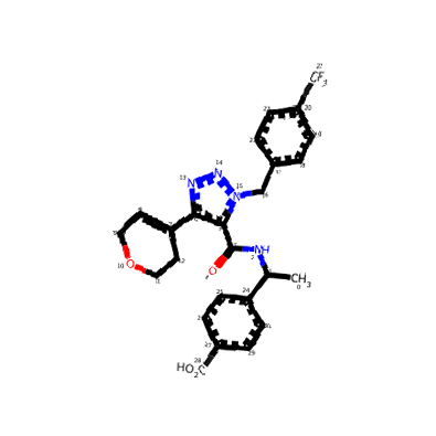 CC(NC(=O)c1c(C2=CCOCC2)nnn1Cc1ccc(C(F)(F)F)cc1)c1ccc(C(=O)O)cc1